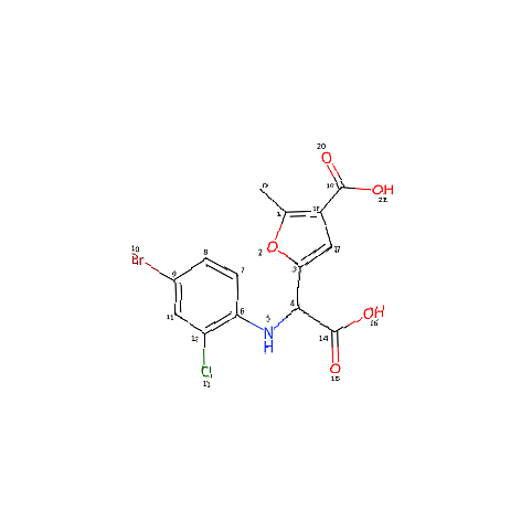 Cc1oc(C(Nc2ccc(Br)cc2Cl)C(=O)O)cc1C(=O)O